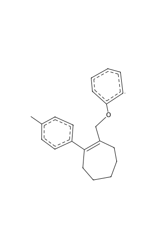 Cc1ccc(C2=C(COc3[c]cccc3)CCCCC2)cc1